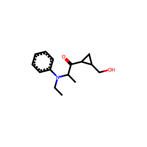 CCN(c1ccccc1)C(C)C(=O)C1CC1CO